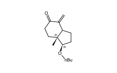 C=C1C(=O)CC[C@]2(C)C1CC[C@H]2OCCCC